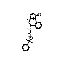 CC(OCOOC(C)(C)c1ccccc1)c1ccccc1N1C(=O)C=CC1=O